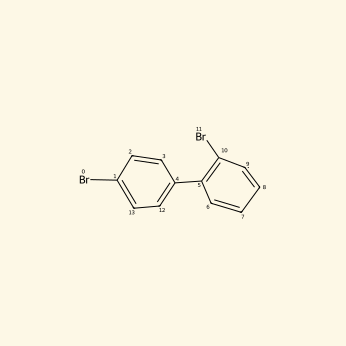 Brc1ccc(-c2ccc[c]c2Br)cc1